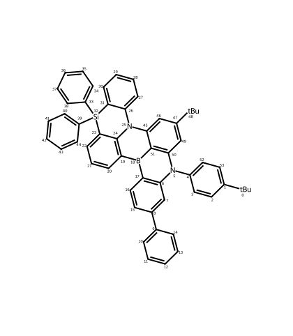 CC(C)(C)c1ccc(N2c3cc(-c4ccccc4)ccc3B3c4cccc5c4N(c4ccccc4[Si]5(c4ccccc4)c4ccccc4)c4cc(C(C)(C)C)cc2c43)cc1